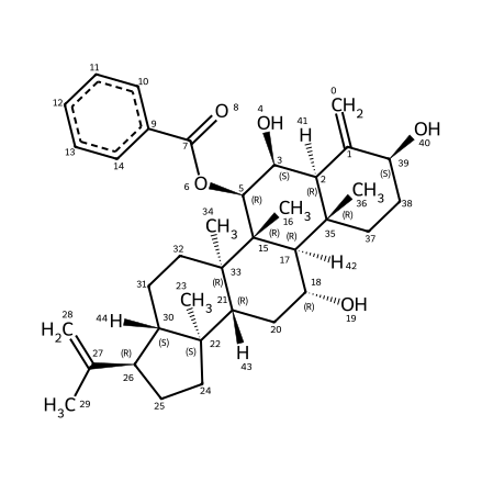 C=C1[C@@H]2[C@H](O)[C@H](OC(=O)c3ccccc3)[C@]3(C)[C@H]([C@H](O)C[C@@H]4[C@@]5(C)CC[C@@H](C(=C)C)[C@@H]5CC[C@]43C)[C@@]2(C)CC[C@@H]1O